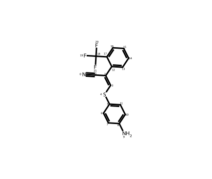 N#CC(=CSc1ccc(N)cc1)c1ccccc1C(F)(F)F